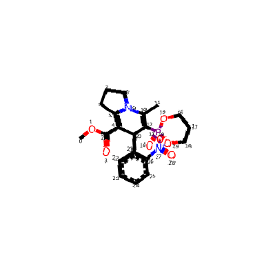 COC(=O)C1=C2CCCN2C(C)=C(P2(=O)OCCCO2)C1c1ccccc1[N+](=O)[O-]